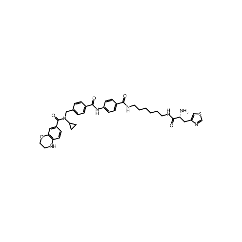 N[C@H](Cc1cscn1)C(=O)NCCCCCCNC(=O)c1ccc(NC(=O)c2ccc(CN(C(=O)c3ccc4c(c3)OCCN4)C3CC3)cc2)cc1